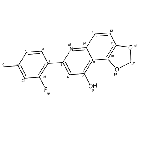 Cc1ccc(-c2cc(O)c3c4c(ccc3n2)OCO4)c(F)c1